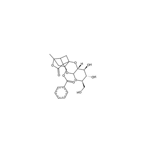 CC12CC3OC4O[C@H](CO)[C@@H](O)[C@H](O)[C@H]4OC34CC1C4(COC(=O)c1ccccc1)C(=O)O2